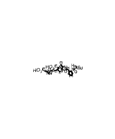 CC(C)(C)OC(=O)Nc1ccccc1CC(=O)NC1C(=O)N2C(C(=O)O)=C(CSc3nnc(CC(=O)O)o3)CS[C@H]12